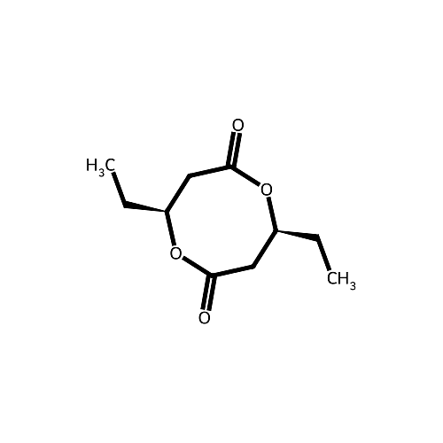 CC[C@H]1CC(=O)O[C@@H](CC)CC(=O)O1